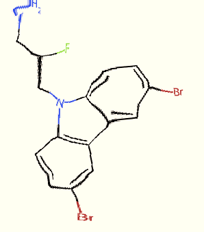 NCC(F)Cn1c2ccc(Br)cc2c2cc(Br)ccc21